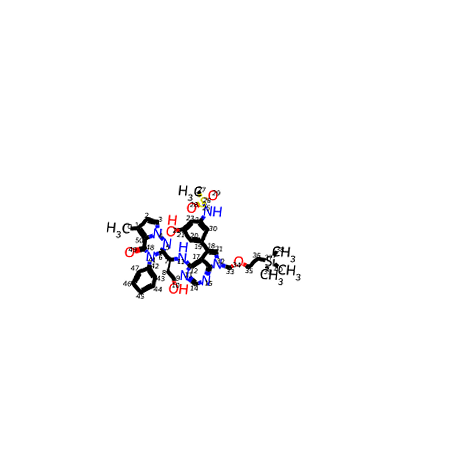 Cc1ccn2nc([C@H](CCO)Nc3ncnc4c3c(-c3cc(O)cc(NS(C)(=O)=O)c3)cn4COCC[Si](C)(C)C)n(-c3ccccc3)c(=O)c12